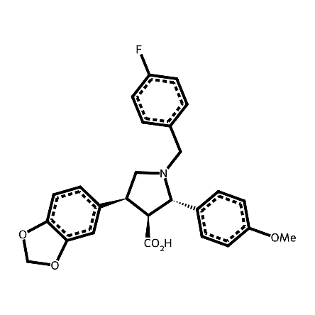 COc1ccc([C@@H]2[C@@H](C(=O)O)[C@@H](c3ccc4c(c3)OCO4)CN2Cc2ccc(F)cc2)cc1